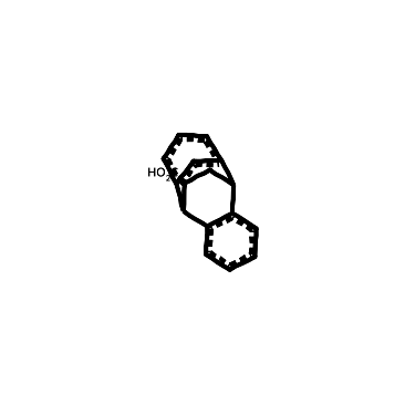 O=C(O)C1CC2c3cccc(c3)C1c1ccccc12